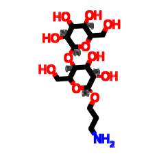 NCCCO[C@@H]1OC(CO)[C@@H](O[C@@H]2OC(CO)[C@H](O)C(O)[C@@H]2O)C(O)[C@@H]1O